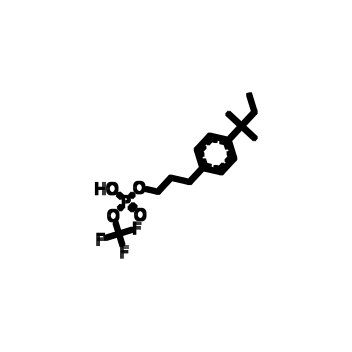 CCC(C)(C)c1ccc(CCCOP(=O)(O)OC(F)(F)F)cc1